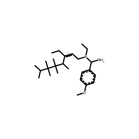 CC/C(=C/CN(CC)C(N)c1ccc(OC)cc1)C(C)C(C)(C)C(C)(C)C(C)C